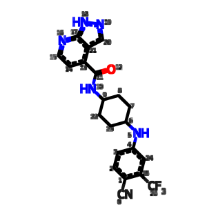 N#Cc1ccc(NC2CCC(NC(=O)c3ccnc4[nH]ncc34)CC2)cc1C(F)(F)F